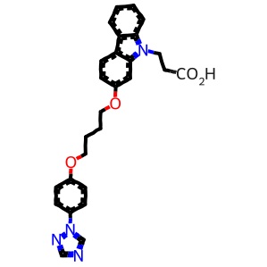 O=C(O)CCn1c2ccccc2c2ccc(OCCCCOc3ccc(-n4cncn4)cc3)cc21